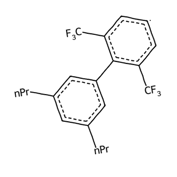 CCCc1cc(CCC)cc(-c2c(C(F)(F)F)c[c]cc2C(F)(F)F)c1